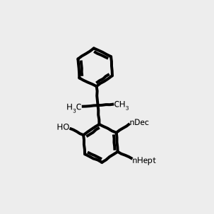 CCCCCCCCCCc1c(CCCCCCC)ccc(O)c1C(C)(C)c1ccccc1